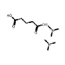 CN(C)C.CN(C)C.O=C(O)CCCC(=O)O